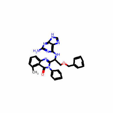 Cc1cccc2nc(C(COCc3ccccc3)Nc3nc(N)nc4[nH]cnc34)n(-c3ccccc3)c(=O)c12